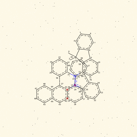 CC1(C)c2ccccc2-c2cccc(N(c3ccccc3)c3ccccc3-c3c(-n4c5ccccc5c5ccccc54)ccc4ccccc34)c21